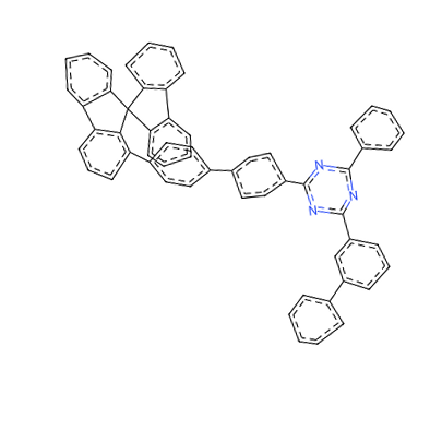 c1ccc(-c2cccc(-c3nc(-c4ccccc4)nc(-c4ccc(-c5ccc(-c6cccc7c6C6(c8ccccc8-c8ccccc86)c6ccccc6-7)cc5)cc4)n3)c2)cc1